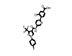 O=C(O)c1ccc(-c2ccc(NC(=O)c3cn(-c4ccc(F)cc4)nc3C(F)(F)F)cn2)c(Cl)c1